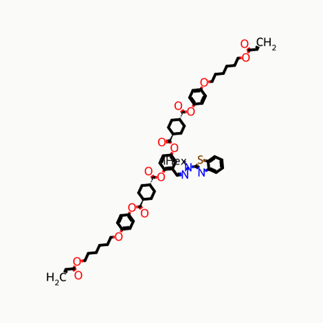 C=CC(=O)OCCCCCCOc1ccc(OC(=O)[C@H]2CC[C@H](C(=O)Oc3ccc(OC(=O)[C@H]4CC[C@H](C(=O)Oc5ccc(OCCCCCCOC(=O)C=C)cc5)CC4)c(/C=N\N(CCCCCC)c4nc5ccccc5s4)c3)CC2)cc1